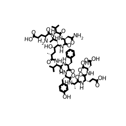 CC(C)C[C@H](NC(=O)[C@H](CC(N)=O)NC(=O)[C@@H](NC(=O)[C@@H](N)CCC(=O)O)C(C)C)[C@@H](O)C[C@@H](C)C(=O)N[C@H](C(=O)N[C@@H](Cc1ccccc1)C(=O)N[C@@H](Cc1ccc(O)cc1)C(=O)N[C@@H](C)C(=O)N[C@@H](CCC(=O)O)C(=O)N[C@@H](CC(=O)O)C(=O)O)C(C)C